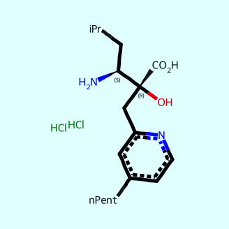 CCCCCc1ccnc(C[C@](O)(C(=O)O)[C@@H](N)CC(C)C)c1.Cl.Cl